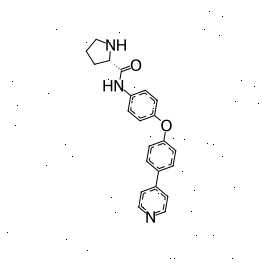 O=C(Nc1ccc(Oc2ccc(-c3ccncc3)cc2)cc1)[C@@H]1CCCN1